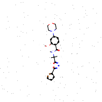 COc1cc(N2CCOCC2)ccc1C(=O)N(C)C(C)(C)c1nnc(-c2cccs2)o1